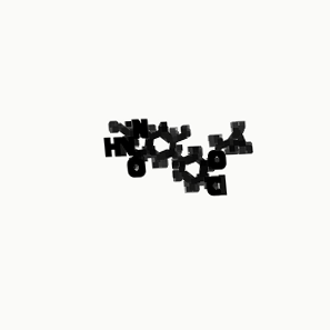 Cc1nc2cc(C)c(-c3ccc(Cl)c(OCC4CC4)c3)cc2c(=O)[nH]1